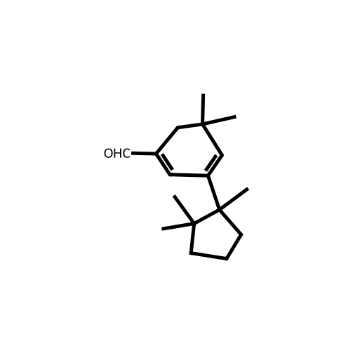 CC1(C)C=C(C2(C)CCCC2(C)C)C=C(C=O)C1